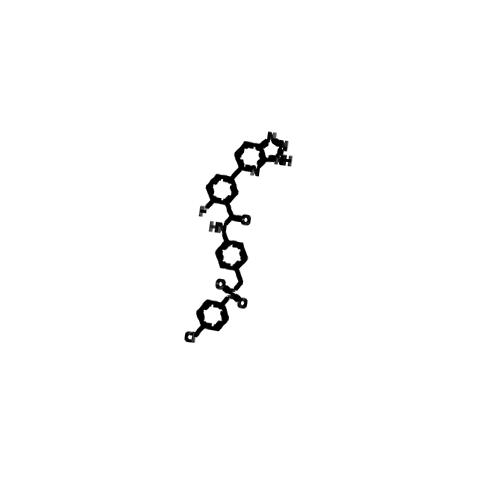 O=C(Nc1ccc(CS(=O)(=O)c2ccc(Cl)cc2)cc1)c1cc(-c2ccc3nn[nH]c3n2)ccc1F